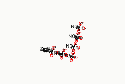 N#[C][Mn](=[O])(=[O])[O-].N#[C][Mn](=[O])(=[O])[O-].N#[C][Mn](=[O])(=[O])[O-].N#[C][Mn](=[O])(=[O])[O-].N#[C][Mn](=[O])(=[O])[O-].N#[C][Mn](=[O])(=[O])[O-].[Zn+2].[Zn+2].[Zn+2]